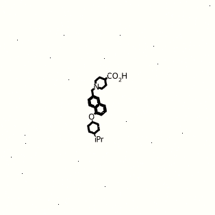 CC(C)[C@H]1CC[C@H](Oc2cccc3cc(CN4CCC(C(=O)O)CC4)ccc23)CC1